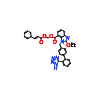 CCOc1nc2cccc(C(=O)OCOC(=O)/C=C/c3ccccc3)c2n1Cc1ccc(-c2ccccc2-c2nnn[nH]2)cc1